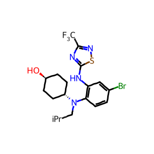 CC(C)CN(c1ccc(Br)cc1Nc1nc(C(F)(F)F)ns1)[C@H]1CC[C@H](O)CC1